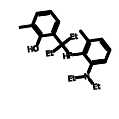 CCN(CC)c1cccc(C)c1PC(CC)(CC)c1cccc(C)c1O